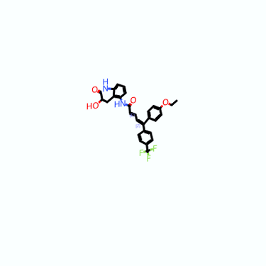 CCOc1ccc(/C(=C\C=C\C(=O)Nc2cccc3c2CC(O)C(=O)N3)c2ccc(C(F)(F)F)cc2)cc1